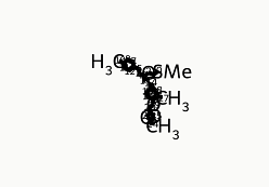 CSCOC(CCc1ccc(C)cc1)CSc1ccc(OCC2OC(C)O2)c(C)c1